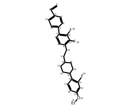 C=Cc1ccc(-c2ccc(CCC3CCC(c4ccc(OCC)cc4F)CC3)c(F)c2F)cc1